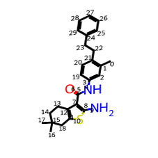 Cc1cc(NC(=O)c2c(N)sc3c2CCC(C)(C)C3)ccc1CCc1ccccc1